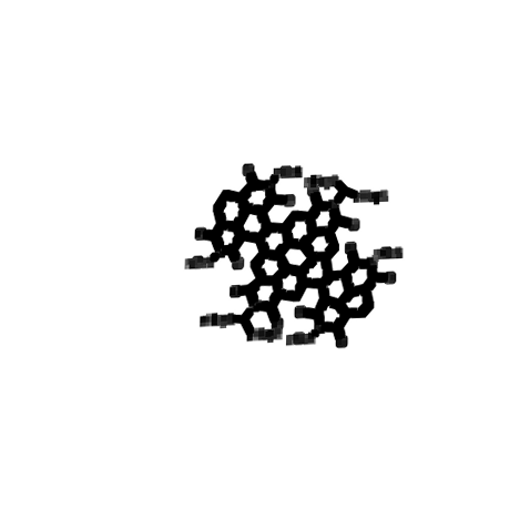 CCCCCCCCn1c(=O)c2ccc3c(=O)n(CCCCCCCC)c(=O)c4c3c2c(c1=O)c1c2cc3c(=O)n(C(CCCCCCC)CCCCCCC)c(=O)c5cc6c7c8c(=O)n(CCCCCCCC)c(=O)c9ccc%10c(=O)n(CCCCCCCC)c(=O)c(c%10c98)c7c7cc8c(=O)n(C(CCCCCCC)CCCCCCC)c(=O)c9cc(c41)c1c2c(c35)c6c7c1c98